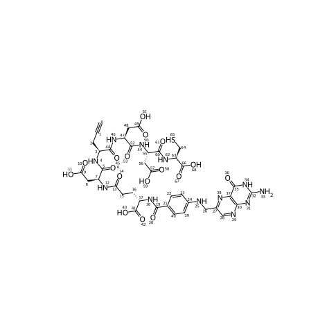 C#CC[C@H](NC(=O)[C@H](CC(=O)O)NC(=O)CC[C@H](NC(=O)c1ccc(NCc2cnc3nc(N)[nH]c(=O)c3n2)cc1)C(=O)O)C(=O)N[C@@H](CC(=O)O)C(=O)N[C@@H](CC(=O)O)C(=O)N[C@@H](CS)C(=O)O